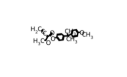 C=C=C=C(C(C)=O)C(=O)Oc1ccc(C(C)(C)c2ccc(OC)cc2)cc1